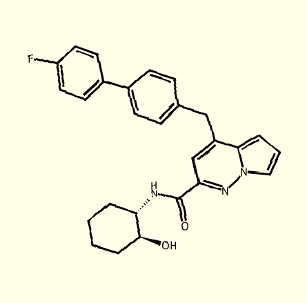 O=C(N[C@H]1CCCC[C@@H]1O)c1cc(Cc2ccc(-c3ccc(F)cc3)cc2)c2cccn2n1